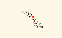 CC(CC(=O)O)c1ccc(OCCOc2ccc(C(C)(C)C)cc2)cc1